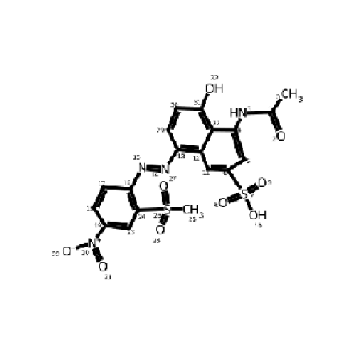 CC(=O)Nc1cc(S(=O)(=O)O)cc2c(N=Nc3ccc([N+](=O)[O-])cc3S(C)(=O)=O)ccc(O)c12